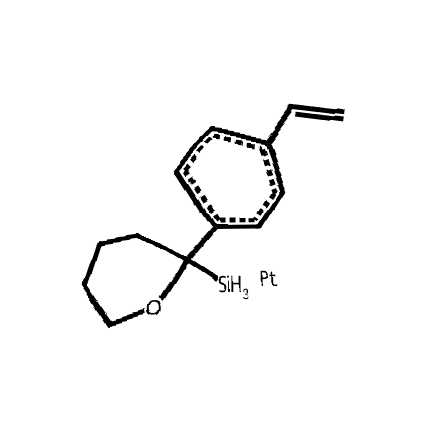 C=Cc1ccc(C2([SiH3])CCCCO2)cc1.[Pt]